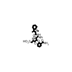 Cc1c(C(=O)N[C@H](C(=O)C(Oc2ccccc2C(N)=O)C(=O)C(N)CC(=O)O)C(C)C)n(C)c2ccccc12